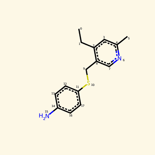 CCc1cc(C)ncc1CSc1ccc(N)cc1